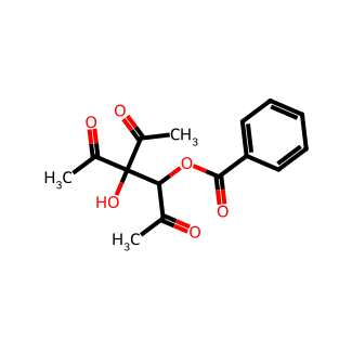 CC(=O)C(OC(=O)c1ccccc1)C(O)(C(C)=O)C(C)=O